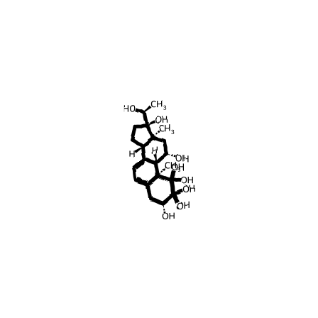 C[C@H](O)[C@@]1(O)CC[C@H]2C3=CC=C4C[C@@H](O)C(O)(O)C(O)(O)[C@]4(C)[C@H]3[C@@H](O)C[C@@]21C